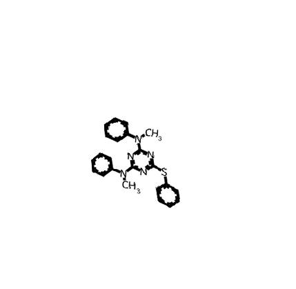 CN(c1ccccc1)c1nc(Sc2ccccc2)nc(N(C)c2ccccc2)n1